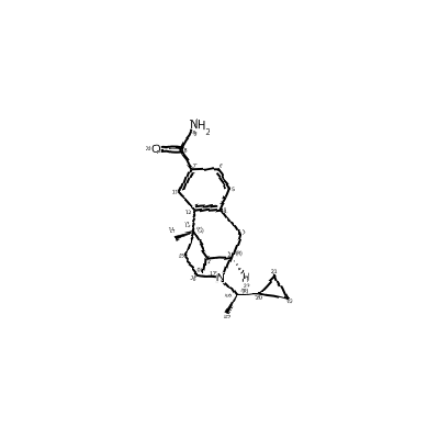 CC1[C@H]2Cc3ccc(C(N)=O)cc3[C@@]1(C)CCN2[C@H](C)C1CC1